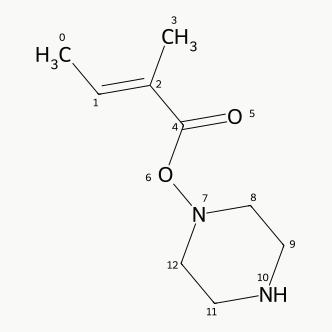 CC=C(C)C(=O)ON1CCNCC1